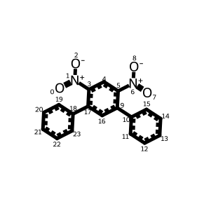 O=[N+]([O-])c1cc([N+](=O)[O-])c(-c2ccccc2)cc1-c1ccccc1